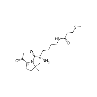 CSCCC(=O)NCCCC[C@H](N)C(=O)N1[C@H](C(C)=O)CCC1(C)C